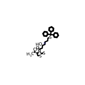 CC(C)[C@@H]1CSC(=S)N1C(=O)CC(O)/C=C/CCSC(c1ccccc1)(c1ccccc1)c1ccccc1